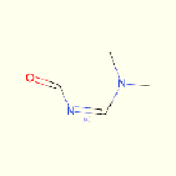 CN(C)/C=N\C=O